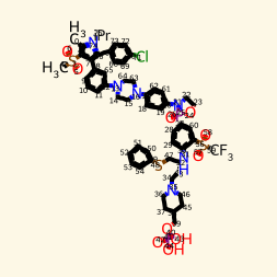 Cc1c(S(C)(=O)=O)c(-c2cccc(N3CCN(c4ccc(N5CCO[P@]5(=O)c5ccc(N[C@H](CCN6CCC(COP(=O)(O)O)CC6)CSc6ccccc6)c(S(=O)(=O)C(F)(F)F)c5)cc4)CC3)c2)c(-c2ccc(Cl)cc2)n1C(C)C